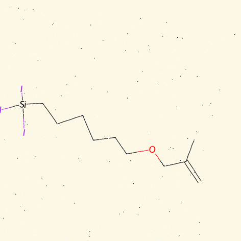 C=C(C)COCCCCCC[Si](I)(I)I